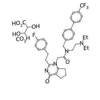 CCN(CC)CCN(Cc1ccc(-c2ccc(C(F)(F)F)cc2)cc1)C(=O)Cn1c(CCc2ccc(F)cc2)nc(=O)c2c1CCC2.O=C(O)C(O)C(O)C(=O)O